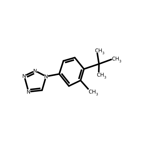 Cc1cc(-n2cnnn2)ccc1C(C)(C)C